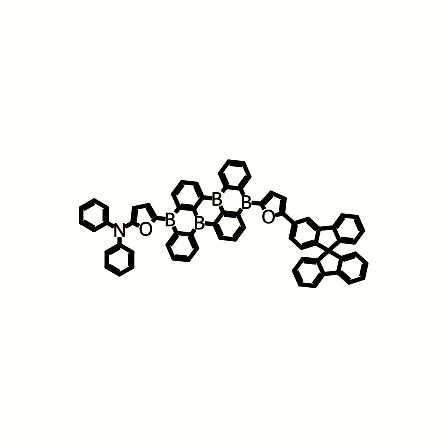 c1ccc(N(c2ccccc2)c2ccc(B3c4ccccc4B4c5cccc6c5B(c5ccccc5B6c5ccc(-c6ccc7c(c6)-c6ccccc6C76c7ccccc7-c7ccccc76)o5)c5cccc3c54)o2)cc1